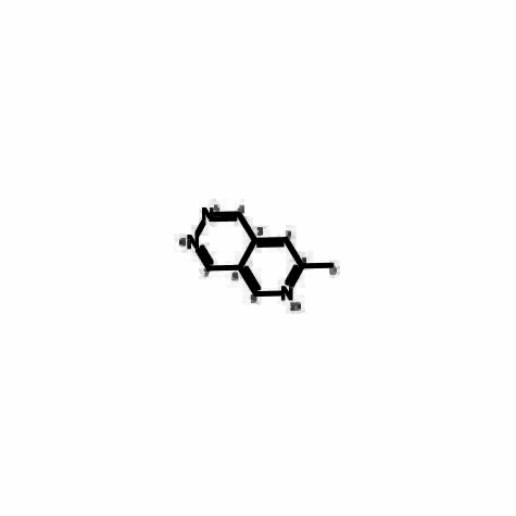 Cc1cc2cnncc2cn1